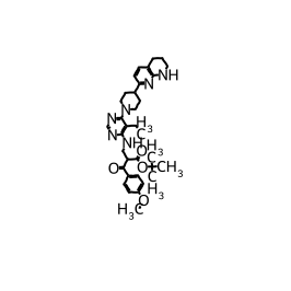 CCc1c(NCC(C(=O)OC(C)(C)C)C(=O)c2ccc(OC)cc2)ncnc1N1CCC(c2ccc3c(n2)NCCC3)CC1